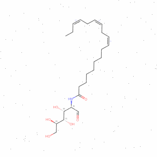 CC/C=C\C/C=C\C/C=C\CCCCCCCC(=O)N[C@@H](C=O)[C@@H](O)[C@H](O)[C@H](O)CO